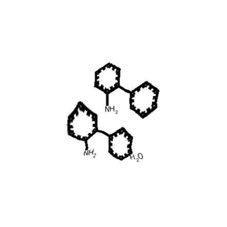 Nc1ccccc1-c1ccccc1.Nc1ccccc1-c1ccccc1.O